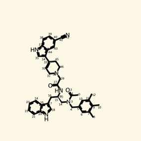 CC(=O)N(Cc1cc(C)c(C)c(C)c1)C[C@@H](Cc1c[nH]c2ccccc12)NC(=O)CN1CC=C(c2c[nH]c3ccc(C#N)cc23)CC1